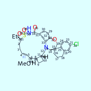 CC[C@@H]1CC/C=C/[C@@H](OC)[C@@H]2CC[C@H]2CN2C[C@@]3(CCCc4cc(Cl)ccc43)COc3ccc(cc32)C(=O)NS1(=O)=O